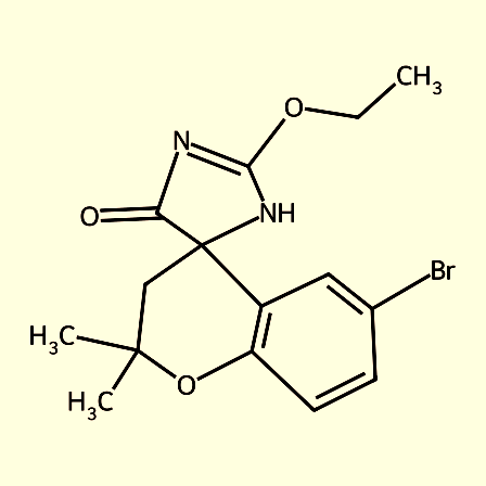 CCOC1=NC(=O)C2(CC(C)(C)Oc3ccc(Br)cc32)N1